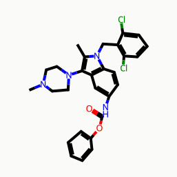 Cc1c(N2CCN(C)CC2)c2cc(NC(=O)Oc3ccccc3)ccc2n1Cc1c(Cl)cccc1Cl